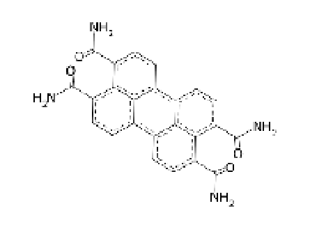 NC(=O)c1ccc2c3ccc(C(N)=O)c4c(C(N)=O)ccc(c5ccc(C(N)=O)c1c25)c43